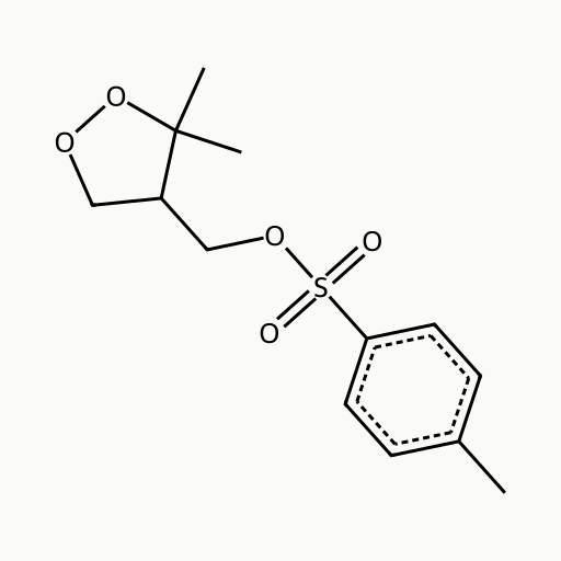 Cc1ccc(S(=O)(=O)OCC2COOC2(C)C)cc1